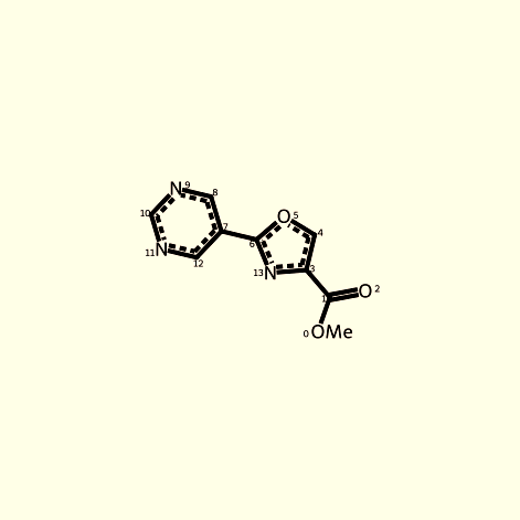 COC(=O)c1coc(-c2cncnc2)n1